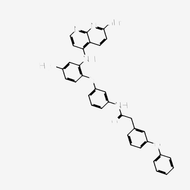 CCCc1ccc2c(Nc3cc(C)ccc3Sc3cccc(NC(=O)Cc4cccc(Oc5ccccc5)c4)c3)ccnc2n1